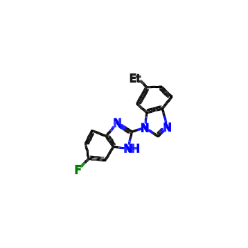 CCc1ccc2ncn(-c3nc4ccc(F)cc4[nH]3)c2c1